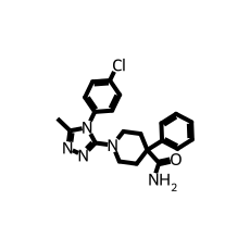 Cc1nnc(N2CCC(C(N)=O)(c3ccccc3)CC2)n1-c1ccc(Cl)cc1